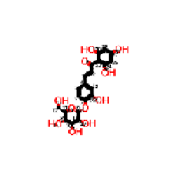 O=C(C=Cc1ccc(O[C@H]2O[C@H](CO)[C@@H](O)[C@H](O)[C@H]2O)c(O)c1)c1c(O)cc(O)cc1O